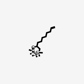 C=CCCCCCCC1C[Si](C)(C)[Si](C)(C)[Si](C)(C)O1